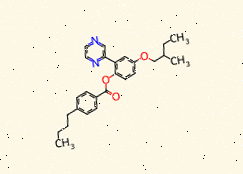 CCCCc1ccc(C(=O)Oc2ccc(OCC(C)CC)cc2-c2cnccn2)cc1